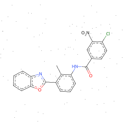 Cc1c(NC(=O)c2ccc(Cl)c([N+](=O)[O-])c2)cccc1-c1nc2ccccc2o1